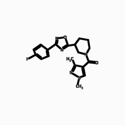 Cc1nn(C)cc1C(=O)N1CCCC(c2nc(-c3ccc(F)cc3)no2)C1